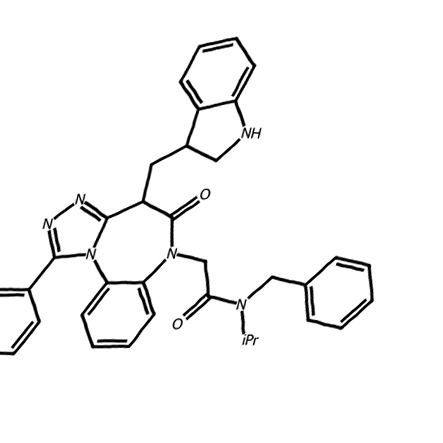 CC(C)N(Cc1ccccc1)C(=O)CN1C(=O)C(CC2CNc3ccccc32)c2nnc(-c3ccccc3)n2-c2ccccc21